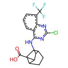 O=C(O)C1C2CCC(CC2)C1Nc1nc(Cl)nc2c(C(F)(F)F)cccc12